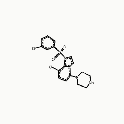 O=S(=O)(c1cccc(Cl)c1)n1ccc2c(N3CCNCC3)ccc(Cl)c21